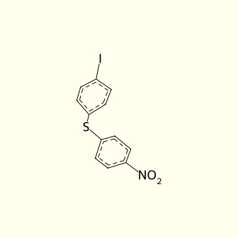 O=[N+]([O-])c1ccc(Sc2ccc(I)cc2)cc1